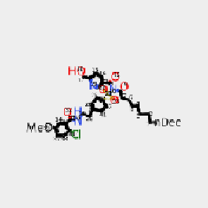 CCCCCCCCCCCCCCCCCC(=O)N(C(=O)c1ccc(CO)nc1)S(=O)(=O)c1ccc(CCNC(=O)c2cc(OC)ccc2Cl)cc1